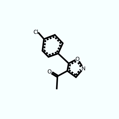 CC(=O)c1cnoc1-c1ccc(Cl)cc1